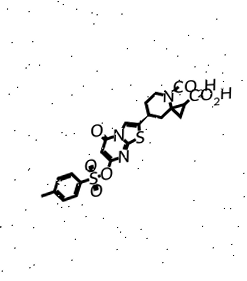 Cc1ccc(S(=O)(=O)Oc2cc(=O)n3cc([C@H]4CCN(C(=O)O)C5(CC5C(=O)O)C4)sc3n2)cc1